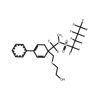 CN(C(F)(F)C1(CSCCO)C=CC(c2ccccc2)=CC1)S(=O)(=O)C(F)(F)C(F)(F)C(F)(F)C(F)(F)F